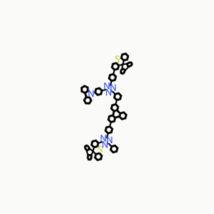 c1ccc(-c2nc(-c3ccc(-c4ccc5c6ccc(-c7cccc(-c8nc(-c9ccc(-c%10ccc%11c(c%10)C%10(c%12ccccc%12S%11)c%11ccccc%11-c%11ccccc%11%10)cc9)nc(-c9ccc(-n%10c%11ccccc%11c%11ccccc%11%10)cc9)n8)c7)cc6c6ccccc6c5c4)cc3)nc(-c3cccc4c3Sc3ccccc3C43c4ccccc4-c4ccccc43)n2)cc1